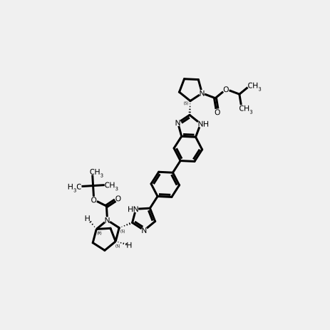 CC(C)OC(=O)N1CCC[C@H]1c1nc2cc(-c3ccc(-c4cnc([C@@H]5[C@H]6CC[C@H](C6)N5C(=O)OC(C)(C)C)[nH]4)cc3)ccc2[nH]1